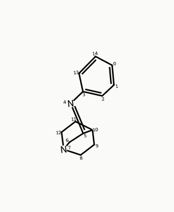 c1ccc(N=C2CN3CCC2CC3)cc1